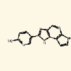 N#Cc1ccc(-c2nc3cnc4[nH]ccc4c3[nH]2)cn1